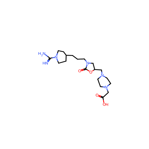 N=C(N)N1CCC(CCCN2CC(CN3CCN(CC(=O)O)CC3)OC2=O)CC1